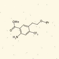 COC(=O)c1cc(CCOC(C)C)c(C(F)(F)F)cc1N